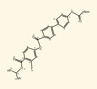 CCCCCCCCCC(=O)Oc1ccc(-c2ccc(C(=O)Oc3ccc(C(=O)OC(CCC)CCC)c(F)c3)cc2)cc1